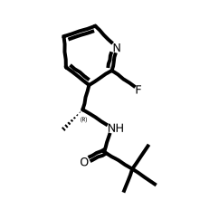 C[C@@H](NC(=O)C(C)(C)C)c1cccnc1F